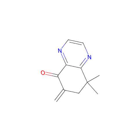 C=C1CC(C)(C)c2nccnc2C1=O